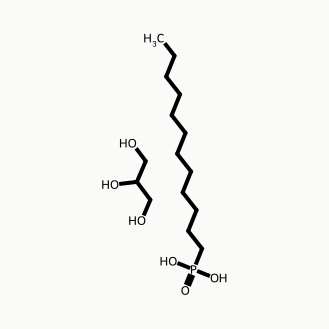 CCCCCCCCCCCCP(=O)(O)O.OCC(O)CO